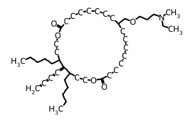 C=C=C=C=C1C(CCCCC)CCOC(=O)CCCCCCCC(COCCCN(C)CC)CCCCCCCC(=O)OCCC1CCCCC